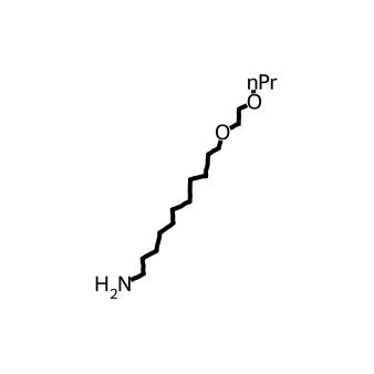 CCCOCCOCCCCCCCCCCCN